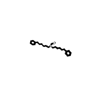 O=CN(CCCCCCc1ccccc1)CCCCCCc1ccccc1